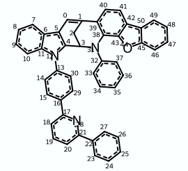 C1=C2CC(c3c1c1ccccc1n3-c1ccc(-c3cccc(-c4ccccc4)n3)cc1)N(c1ccccc1)c1c2ccc2c1oc1ccccc12